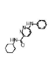 O=C(NC1CCCCC1)c1ccc(Nc2ccccc2)nn1